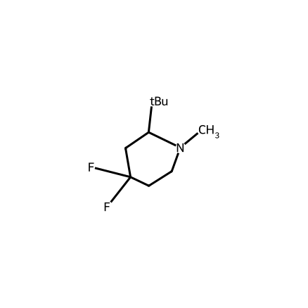 CN1CCC(F)(F)CC1C(C)(C)C